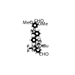 COc1cc(-n2ncc3c(-c4cccc(N(C(=O)OC(C)(C)C)c5nc(C(F)F)nc6cc(C=O)cnc56)c4Cl)cccc32)cc(OC)c1C=O